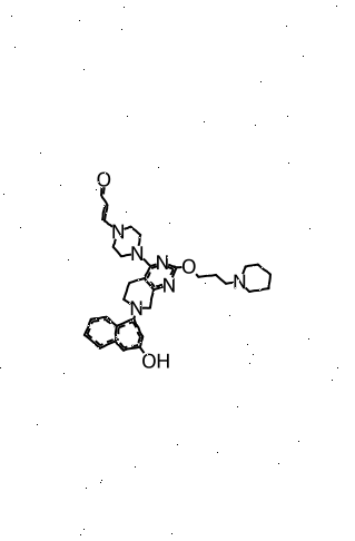 O=CC=CN1CCN(c2nc(OCCCN3CCCCC3)nc3c2CCN(c2cc(O)cc4ccccc24)C3)CC1